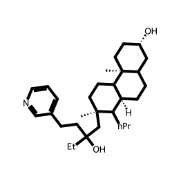 CCCC1[C@@H]2CCC3C[C@@H](O)CC[C@]3(C)C2CC[C@]1(C)CC(O)(CC)CCc1cccnc1